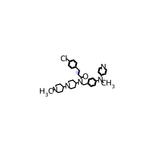 CN1CCC(N2CCC(N(Cc3ccc(N(C)c4ccncc4)cc3)C(=O)/C=C/c3ccc(Cl)cc3)CC2)CC1